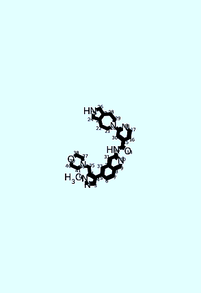 Cn1ncc(-c2ccc3cnc(NC(=O)c4ccnc(N5CCC6CNCC6CC5)c4)cc3c2)c1CN1CCOCC1